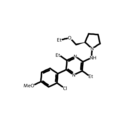 CCOC[C@H]1CCCN1Nc1nc(CC)c(-c2ccc(OC)cc2Cl)nc1CC